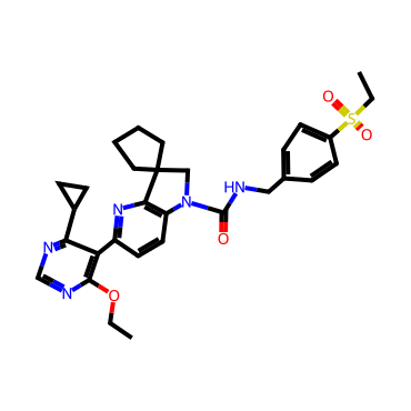 CCOc1ncnc(C2CC2)c1-c1ccc2c(n1)C1(CCCC1)CN2C(=O)NCc1ccc(S(=O)(=O)CC)cc1